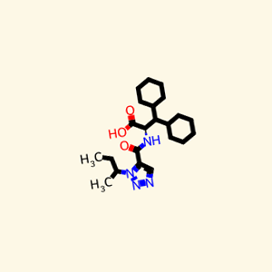 CCC(C)n1nncc1C(=O)N[C@H](C(=O)O)C(C1CCCCC1)C1CCCCC1